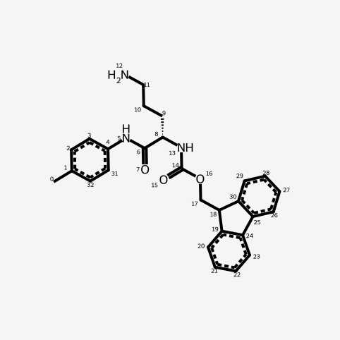 Cc1ccc(NC(=O)[C@H](CCCN)NC(=O)OCC2c3ccccc3-c3ccccc32)cc1